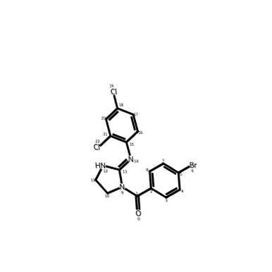 O=C(c1ccc(Br)cc1)N1CCNC1=Nc1ccc(Cl)cc1Cl